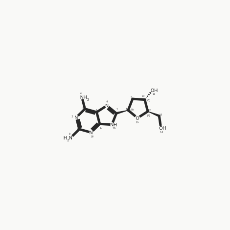 Nc1nc(N)c2nc([C@H]3C[C@H](O)[C@@H](CO)O3)[nH]c2n1